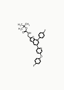 CC(C)(C)OC(=O)NCc1cc2cc(-c3ccc(Oc4ccc(F)cc4)cn3)cc(-c3ccc(F)cc3)c2o1